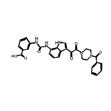 O=C(Nc1cccc(C(=O)O)c1)Nc1cccc2c(C(=O)C(=O)N3CCN(C(=O)c4ccccc4)CC3)c[nH]c12